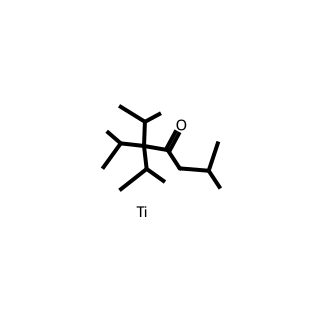 CC(C)CC(=O)C(C(C)C)(C(C)C)C(C)C.[Ti]